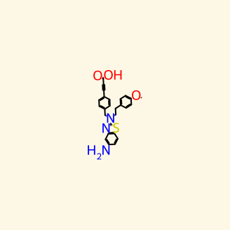 COc1ccc(CCN(Cc2ccc(C#CC(=O)O)cc2)c2nc3cc(N)ccc3s2)cc1